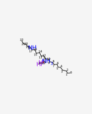 CCCCCCCCCCCCCCCCCCNCCCC.I.I.N